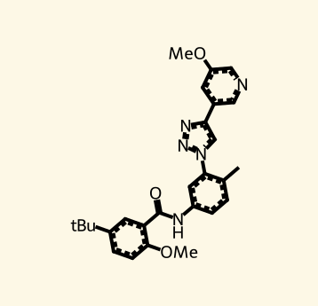 COc1cncc(-c2cn(-c3cc(NC(=O)c4cc(C(C)(C)C)ccc4OC)ccc3C)nn2)c1